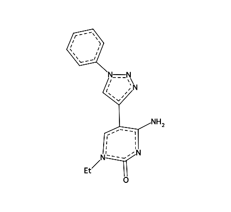 CCn1cc(-c2cn(-c3ccccc3)nn2)c(N)nc1=O